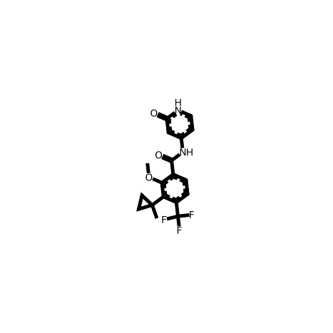 COc1c(C(=O)Nc2cc[nH]c(=O)c2)ccc(C(F)(F)F)c1C1(C)CC1